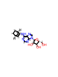 OC[C@H]1O[C@@H](n2cnc3c(N[C@H]4C[C@H]5CC[C@@H]4C5)ncnc32)[C@H](O)[C@@H]1O